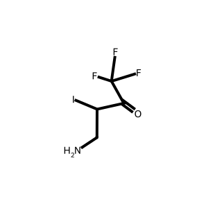 NCC(I)C(=O)C(F)(F)F